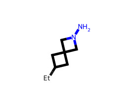 CCC1CC2(C1)CN(N)C2